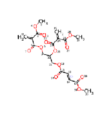 C=C(C(=O)OC)C(=O)OCC(COC(=O)/C=C/C(=O)OC)OC(=O)C(=C)C(=O)OC